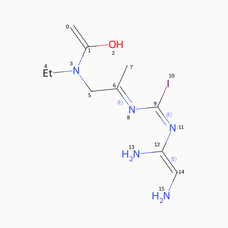 C=C(O)N(CC)C/C(C)=N/C(I)=N\C(N)=C\N